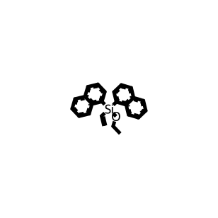 C=C[Si](OCC)(c1cccc2ccccc12)c1cccc2ccccc12